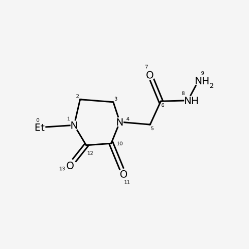 CCN1CCN(CC(=O)NN)C(=O)C1=O